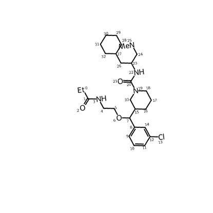 CCC(=O)NCCOC(c1cccc(Cl)c1)C1CCCN(C(=O)NC(CNC)CC2CCCCC2)C1